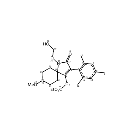 CCOC(=O)OC1=C(c2c(C)cc(C)cc2C)C(=O)N(OCO)C12CCN(OC)CC2